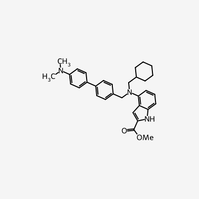 COC(=O)c1cc2c(N(Cc3ccc(-c4ccc(N(C)C)cc4)cc3)CC3CCCCC3)cccc2[nH]1